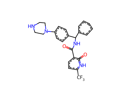 O=C(NC(c1ccccc1)c1ccc(N2CCNCC2)cc1)c1ccc(C(F)(F)F)[nH]c1=O